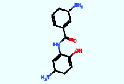 NC1C=C(C(=O)NC2=CC(N)CC=C2O)C=CC1